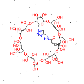 C=CC(=O)NCc1cn(CC2OC3OC(CCO)/C(O)=C(/O)C(O)OC(CCO)/C(O)=C(/O)C(O)OC(CCO)/C(O)=C(\O)C(O)OC(CCO)/C(O)=C(\O)C(O)OC(CCO)/C(O)=C(/O)C(O)OC(CCO)/C(O)=C(\O)C(O)OC2C(O)C3O)nn1